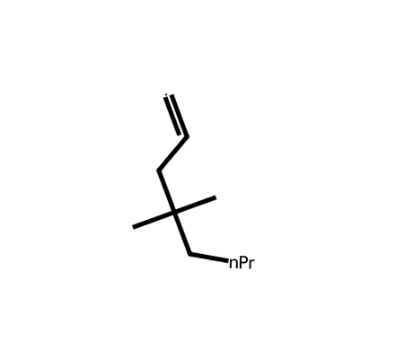 [CH]=CCC(C)(C)CCCC